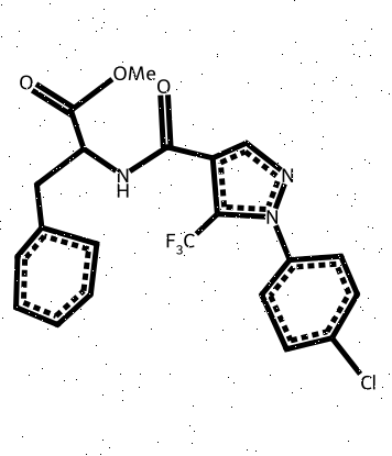 COC(=O)C(Cc1ccccc1)NC(=O)c1cnn(-c2ccc(Cl)cc2)c1C(F)(F)F